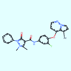 CC(=O)c1ccn2nccc(Oc3ccc(NC(=O)c4c(C)n(C)n(-c5ccccc5)c4=O)cc3F)c12